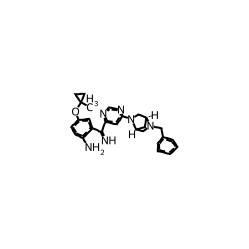 CC1(Oc2ccc(N)c(C(=N)c3cc(N4C[C@@H]5C[C@H]4CN5Cc4ccccc4)ncn3)c2)CC1